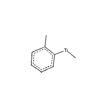 [CH3][Ti][c]1ccccc1C